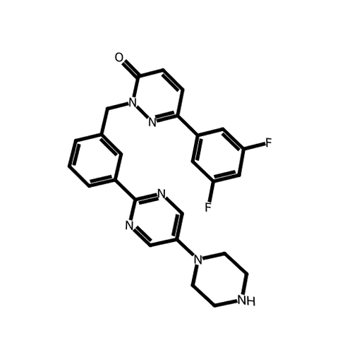 O=c1ccc(-c2cc(F)cc(F)c2)nn1Cc1cccc(-c2ncc(N3CCNCC3)cn2)c1